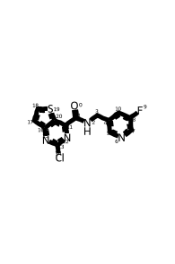 O=C(NCc1cncc(F)c1)c1nc(Cl)nc2ccsc12